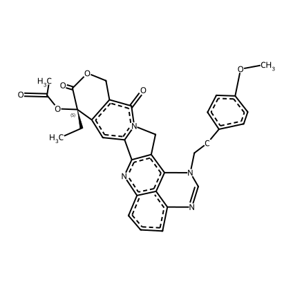 CC[C@@]1(OC(C)=O)C(=O)OCc2c1cc1n(c2=O)Cc2c-1nc1cccc3c1c2N(CCc1ccc(OC)cc1)C=N3